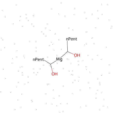 CCCCC[CH](O)[Mg][CH](O)CCCCC